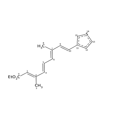 CCOC(=O)C=C(C)C=CC=C(C)C=Cc1ccsc1